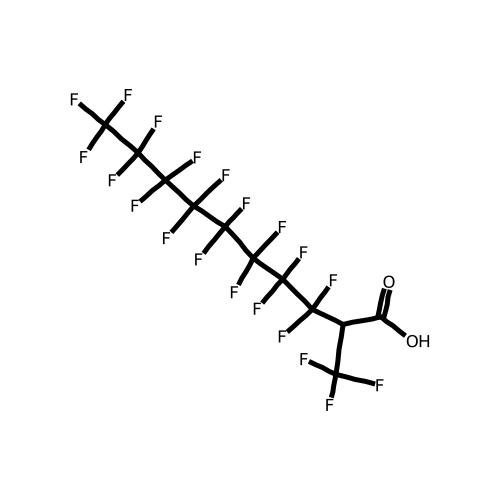 O=C(O)C(C(F)(F)F)C(F)(F)C(F)(F)C(F)(F)C(F)(F)C(F)(F)C(F)(F)C(F)(F)C(F)(F)F